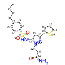 CCCCc1ccc(S(=O)(=O)Nc2cc(-c3cccs3)nn2CCC(N)=O)cc1